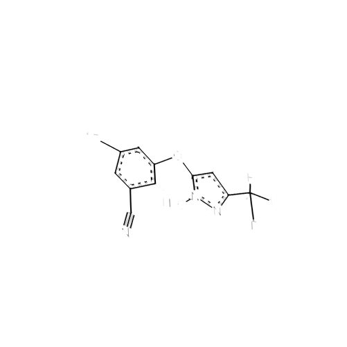 Cn1nc(C(F)(F)F)cc1Oc1cc(F)cc(C#N)c1